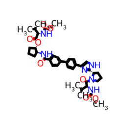 COC(=O)N[C@H](C(=O)O[C@H]1CCC[C@@H]1NC(=O)c1ccc(-c2ccc(-c3c[nH]c([C@@H]4CCCN4C(=O)[C@@H](NC(=O)OC)C(C)C)n3)cc2)cc1)C(C)C